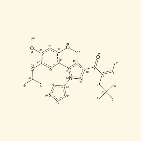 C/C=C(/CC(C)(C)C)C(=O)c1nn(-c2ccsc2)c2c1COc1cc(OC)c(SC(C)C)cc1-2